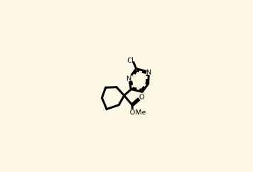 COC(=O)C1(c2ccnc(Cl)n2)CCCCC1